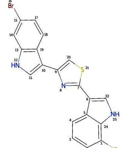 Fc1cccc2c(-c3nc(-c4c[nH]c5cc(Br)ccc45)cs3)c[nH]c12